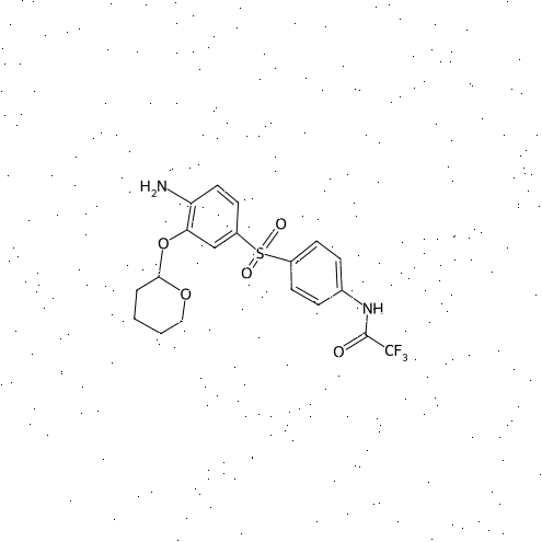 Nc1ccc(S(=O)(=O)c2ccc(NC(=O)C(F)(F)F)cc2)cc1OC1CCCCO1